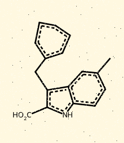 Cc1ccc2[nH]c(C(=O)O)c(Cc3ccccc3)c2c1